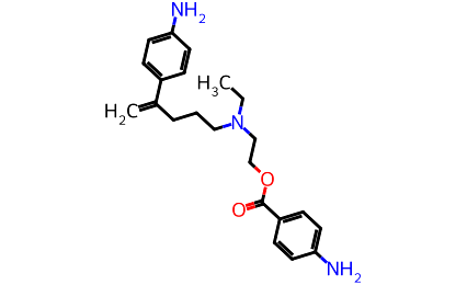 C=C(CCCN(CC)CCOC(=O)c1ccc(N)cc1)c1ccc(N)cc1